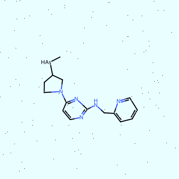 C[AsH]C1CCN(c2ccnc(NCc3ccccn3)n2)C1